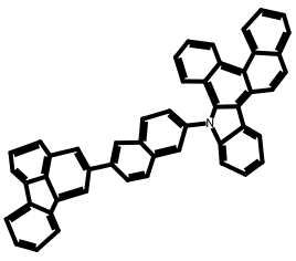 c1ccc2c(c1)-c1cccc3cc(-c4ccc5cc(-n6c7ccccc7c7c8ccc9ccccc9c8c8ccccc8c76)ccc5c4)cc-2c13